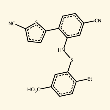 CCc1ccc(C(=O)O)cc1SNc1cc(C#N)ccc1-c1ccc(C#N)s1